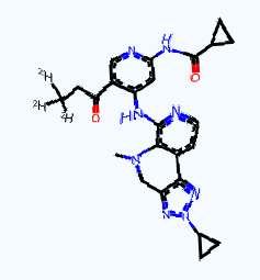 [2H]C([2H])([2H])CC(=O)c1cnc(NC(=O)C2CC2)cc1Nc1nccc2c1N(C)Cc1nn(C3CC3)nc1-2